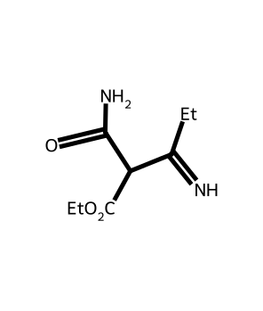 CCOC(=O)C(C(=N)CC)C(N)=O